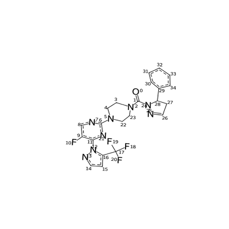 O=C(N1CCN(c2ncc(F)c(-n3nccc3C(F)(F)F)n2)CC1)N1N=CCC1c1ccccc1